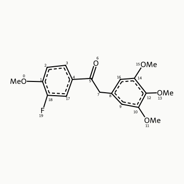 COc1ccc(C(=O)Cc2cc(OC)c(OC)c(OC)c2)cc1F